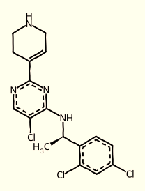 C[C@@H](Nc1nc(C2=CCNCC2)ncc1Cl)c1ccc(Cl)cc1Cl